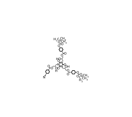 CC(C)(C)OC(=O)Oc1ccc(C(=O)OCC(O)Cn2c(=O)n(CC(O)COC(=O)c3ccc(C#N)cc3)c(=O)n(CC(O)COC(=O)c3ccc(OC(=O)OC(C)(C)C)cc3)c2=O)cc1